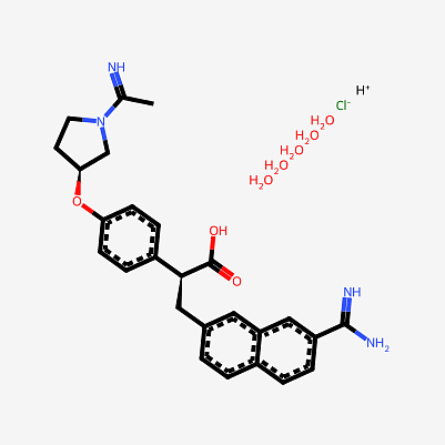 CC(=N)N1CC[C@H](Oc2ccc([C@H](Cc3ccc4ccc(C(=N)N)cc4c3)C(=O)O)cc2)C1.O.O.O.O.O.[Cl-].[H+]